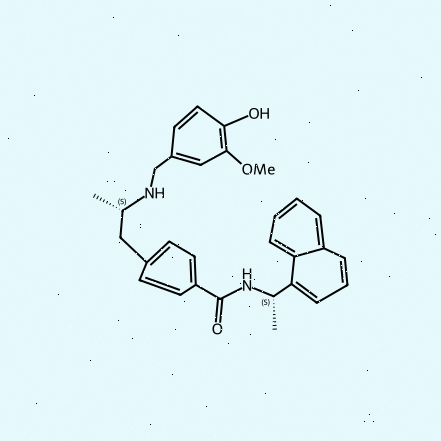 COc1cc(CN[C@@H](C)Cc2ccc(C(=O)N[C@@H](C)c3cccc4ccccc34)cc2)ccc1O